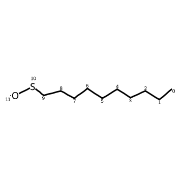 CCCCCCCCCCS[O]